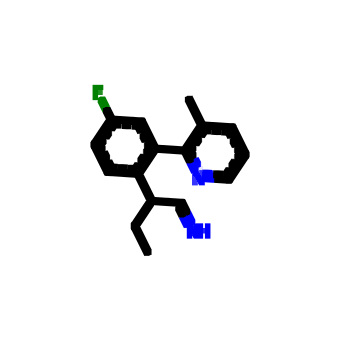 CCC(C=N)c1ccc(F)cc1-c1ncccc1C